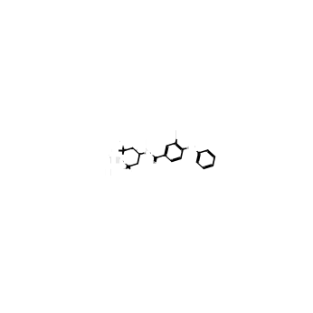 CC1(C)CC(NC(=O)c2ccc(Oc3ccccc3)c(F)c2)CC(C)(C)N1